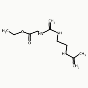 C=C(C)NCCNC(=C)NCC(=O)OCC